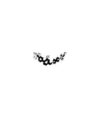 CCc1cc(CN2CC3(C2)CN(S(=O)(=O)CC(C)C)C3)ccc1-c1ccc(C(O)(C(F)(F)F)C(F)(F)F)cc1